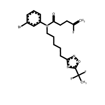 C=C(F)CCC(=O)N(CCCCCc1noc(C(C)(F)F)n1)c1cccc(Br)c1